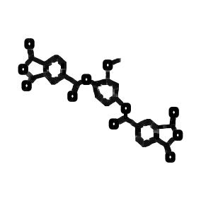 COc1cc(OC(=O)c2ccc3c(c2)C(=O)OC3=O)ccc1OC(=O)c1ccc2c(c1)C(=O)OC2=O